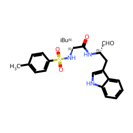 CC[C@H](C)[C@H](NS(=O)(=O)c1ccc(C)cc1)C(=O)N[C@H](C=O)Cc1c[nH]c2ccccc12